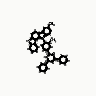 Cc1ccc2c(c1)c1ccc3sc4ccccc4c3c1n2-c1ccc(-c2nc(-c3ccccc3)cc(-c3ccccc3)n2)cc1C